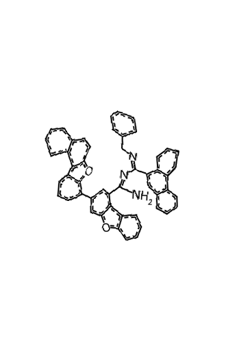 N/C(=N\C(=N/Cc1ccccc1)c1cc2ccccc2c2ccccc12)c1cc(-c2cccc3c2oc2ccc4ccccc4c23)cc2oc3ccccc3c12